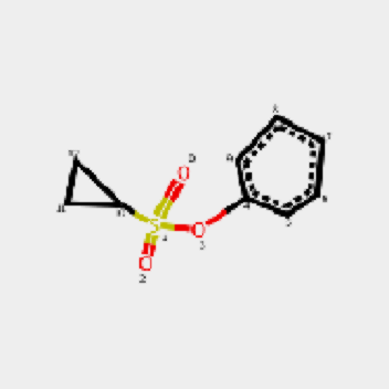 O=S(=O)(Oc1cc[c]cc1)C1CC1